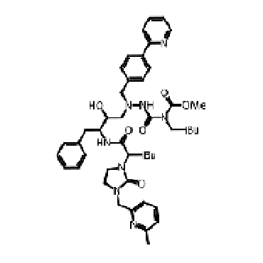 CCC(C)CN(C(=O)NN(Cc1ccc(-c2ccccn2)cc1)CC(O)C(Cc1ccccc1)NC(=O)C(C(C)CC)N1CCN(Cc2cccc(C)n2)C1=O)C(=O)OC